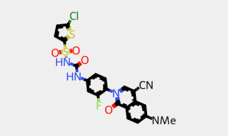 CNc1ccc2c(=O)n(-c3ccc(NC(=O)NS(=O)(=O)c4ccc(Cl)s4)cc3F)cc(C#N)c2c1